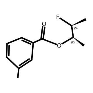 Cc1cccc(C(=O)O[C@H](C)[C@H](C)F)c1